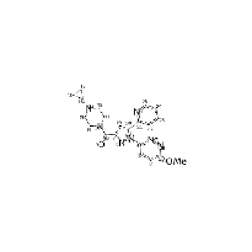 COc1ccc(-n2nc(C(=O)N3CCN(C4CC4)CC3)cc2-c2ccccn2)nn1